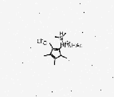 CC(=O)[NH][Hf+2]([C]1=C(C)C(C)=C(C)C1C)[SiH](C)C.[Cl-].[Cl-]